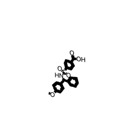 COc1ccc(C(NS(=O)(=O)c2ccc(C(=O)O)cc2)c2ccccc2)cc1